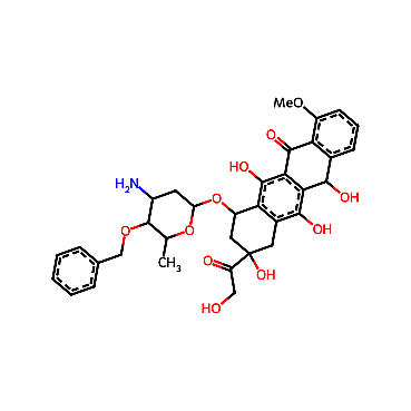 COc1cccc2c1C(=O)c1c(O)c3c(c(O)c1C2O)CC(O)(C(=O)CO)CC3OC1CC(N)C(OCc2ccccc2)C(C)O1